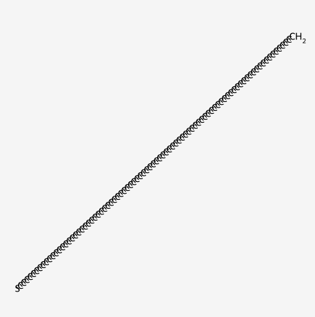 C=C=C=C=C=C=C=C=C=C=C=C=C=C=C=C=C=C=C=C=C=C=C=C=C=C=C=C=C=C=C=C=C=C=C=C=C=C=C=C=C=C=C=C=C=C=C=C=C=C=C=C=C=C=C=C=C=C=C=C=C=C=C=C=C=C=C=C=C=C=C=C=C=C=C=C=C=C=C=C=C=C=C=C=C=S